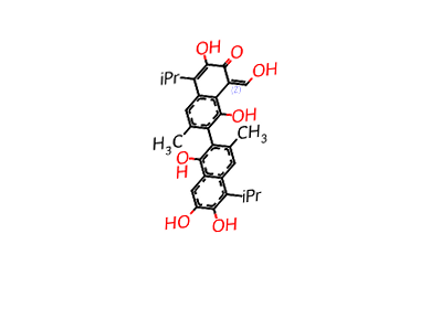 Cc1cc2c(c(O)c1-c1c(C)cc3c(C(C)C)c(O)c(O)cc3c1O)/C(=C/O)C(=O)C(O)=C2C(C)C